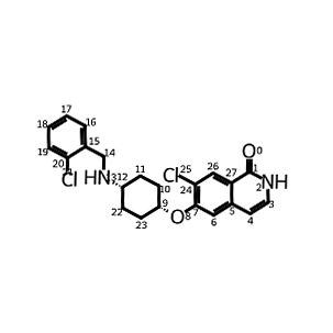 O=c1[nH]ccc2cc(O[C@H]3CC[C@@H](NCc4ccccc4Cl)CC3)c(Cl)cc12